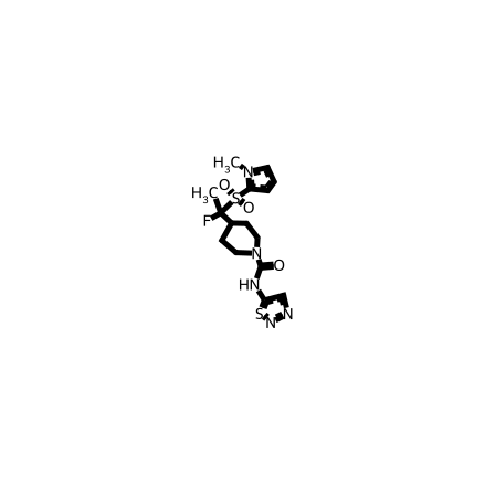 Cn1cccc1S(=O)(=O)C(C)(F)C1CCN(C(=O)Nc2cnns2)CC1